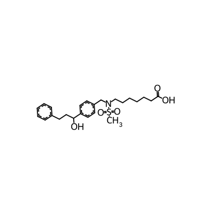 CS(=O)(=O)N(CCCCCCC(=O)O)Cc1ccc(C(O)CCc2ccccc2)cc1